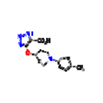 O=C(O)c1[nH]nnc1OC1CCN(c2ccc(C(F)(F)F)cc2)CC1